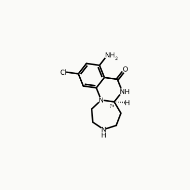 Nc1cc(Cl)cc2c1C(=O)N[C@H]1CCNCCN21